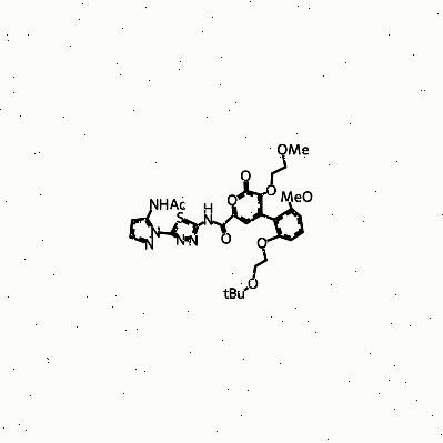 COCCOc1c(-c2c(OC)cccc2OCCOC(C)(C)C)cc(C(=O)Nc2nnc(-n3nccc3NC(C)=O)s2)oc1=O